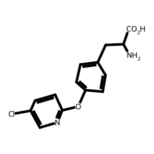 NC(Cc1ccc(Oc2ccc(Cl)cn2)cc1)C(=O)O